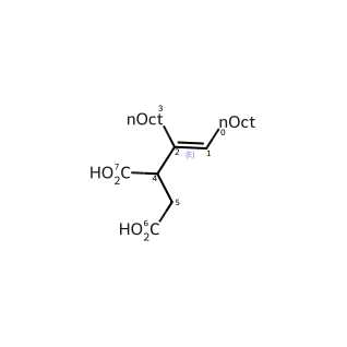 CCCCCCCC/C=C(\CCCCCCCC)C(CC(=O)O)C(=O)O